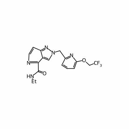 CCNC(=O)c1nccc2nn(Cc3cccc(OCC(F)(F)F)n3)cc12